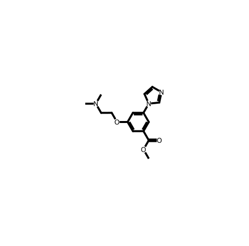 COC(=O)c1cc(OCCN(C)C)cc(-n2ccnc2)c1